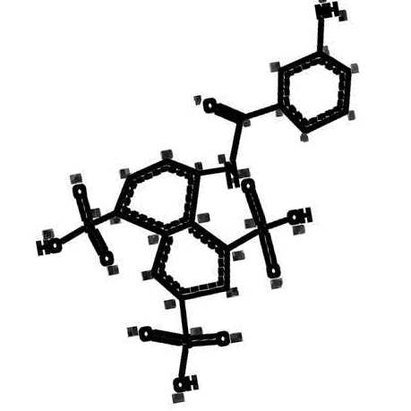 Nc1cccc(C(=O)Nc2ccc(S(=O)(=O)O)c3cc(S(=O)(=O)O)cc(S(=O)(=O)O)c23)c1